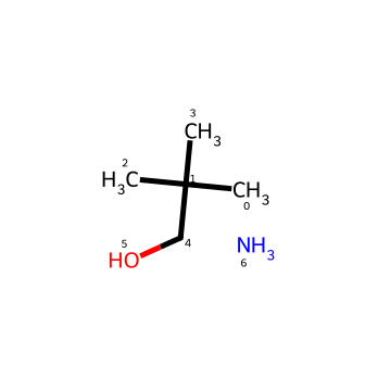 CC(C)(C)CO.N